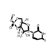 CCOP1(=O)OC[C@H]2O[C@@H](n3ccc(=O)[nH]c3=O)[C@](C)(C#N)[C@@H]2O1